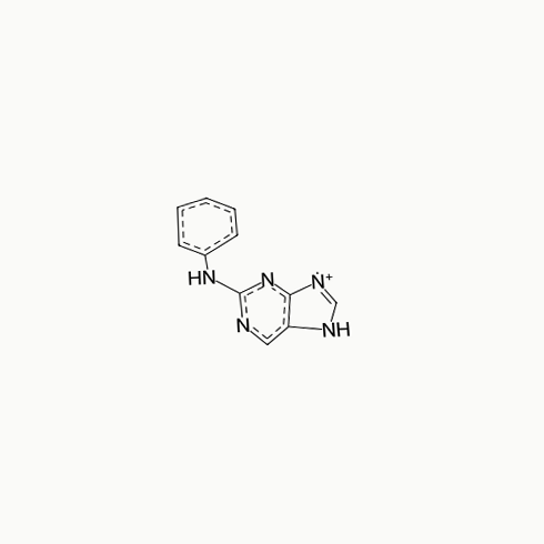 C1=[N+]c2nc(Nc3ccccc3)ncc2N1